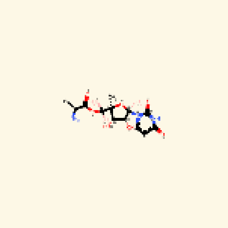 BC(B)(OC(=O)[C@@H](N)C(C)C)[C@@]1(C)O[C@@](B)(n2ccc(=O)[nH]c2=O)[C@H](O)[C@@H]1O